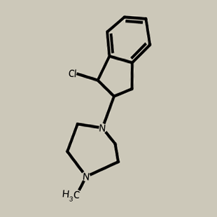 CN1CCN(C2Cc3ccccc3C2Cl)CC1